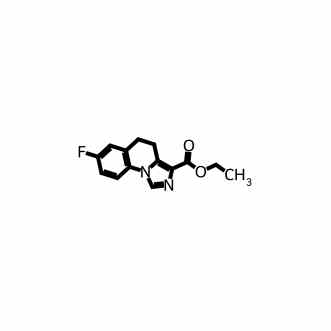 CCOC(=O)c1ncn2c1CCc1cc(F)ccc1-2